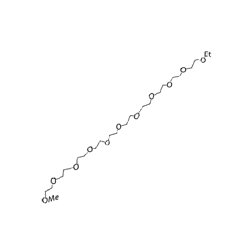 [CH2]COCCOCCOCCOCCOCCOCCOCCOCCOCCOCCOC